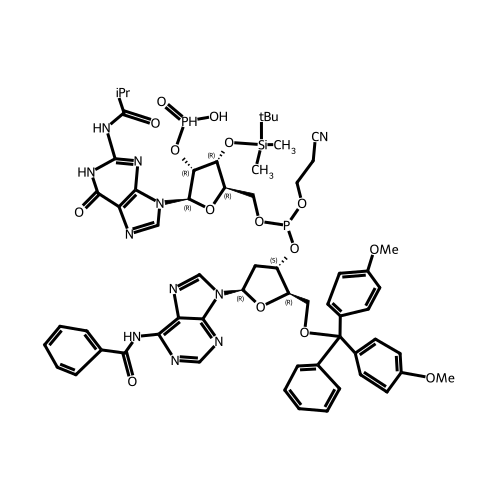 COc1ccc(C(OC[C@H]2O[C@@H](n3cnc4c(NC(=O)c5ccccc5)ncnc43)C[C@@H]2OP(OCCC#N)OC[C@H]2O[C@@H](n3cnc4c(=O)[nH]c(NC(=O)C(C)C)nc43)[C@H](O[PH](=O)O)[C@@H]2O[Si](C)(C)C(C)(C)C)(c2ccccc2)c2ccc(OC)cc2)cc1